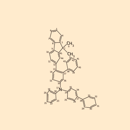 CC1(C)c2ccccc2-c2ccc(-c3ccc(N(c4ccccc4)c4ccc(-c5ccccc5)cc4)cc3-c3ccccc3)cc21